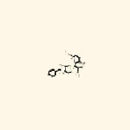 CC1CN(c2c(C#N)c(=O)n(C)c3ccc(C#N)nc23)CCC1N(C)C(=O)c1ccc(F)cc1